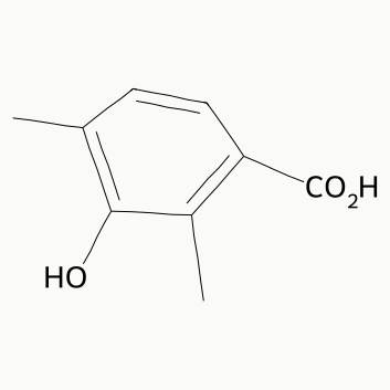 Cc1ccc(C(=O)O)c(C)c1O